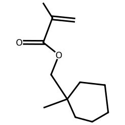 C=C(C)C(=O)OCC1(C)CCCCC1